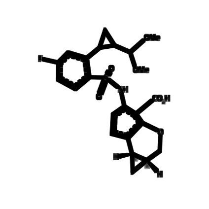 COC(OC)C1CC1c1cc(F)ccc1S(=O)(=O)Nc1ccc2c(c1C(=O)O)OC[C@@H]1C[C@H]21